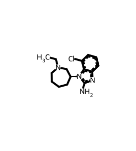 CCN1CCCC[C@H](n2c(N)nc3cccc(Cl)c32)C1